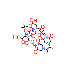 CC(C(C)N1CC(=O)N(COC(=O)C(CC(=O)O)NC(=O)OC(C)(C)C)C(=O)C1)N1CC(=O)N(COC(=O)C(CC(=O)O)NC(=O)OC(C)(C)C)C(=O)C1